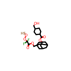 O=C(OC12CC3CC(CC(COC(=O)C(F)(F)OOS)(C3)C1)C2)C1CCC(CO)CC1